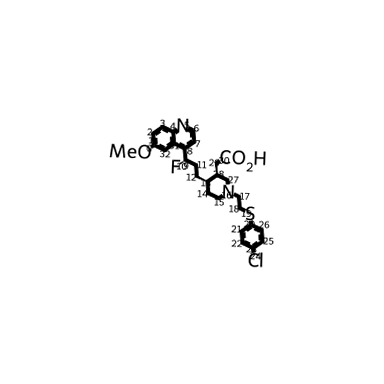 COc1ccc2nccc([C@@H](F)CC[C@@H]3CCN(CCSc4ccc(Cl)cc4)C[C@@H]3CC(=O)O)c2c1